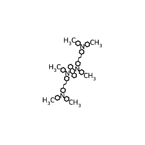 Cc1ccc(N(c2ccc(C)cc2)c2ccc(/C=C/c3ccc(N(c4ccc(C)cc4)c4c5ccccc5c(N(c5ccc(C)cc5)c5ccc(/C=C/c6ccc(N(c7ccc(C)cc7)c7ccc(C)cc7)cc6)cc5)c5ccccc45)cc3)cc2)cc1